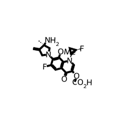 C=C1CN(c2c(F)cc3c(=O)c(OC(=O)O)cn([C@@H]4C[C@@H]4F)c3c2OC)C[C@]1(C)N